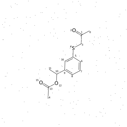 CC(=O)CSc1cccc(C(C)OC(C)=O)c1